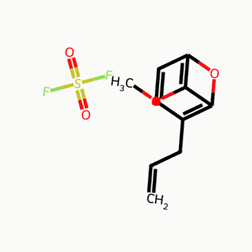 C=CCc1ccc2c(OC)c1O2.O=S(=O)(F)F